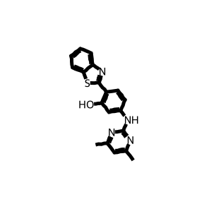 Cc1cc(C)nc(Nc2ccc(-c3nc4ccccc4s3)c(O)c2)n1